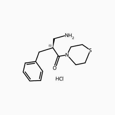 Cl.NC[C@H](Cc1ccccc1)C(=O)N1CCSCC1